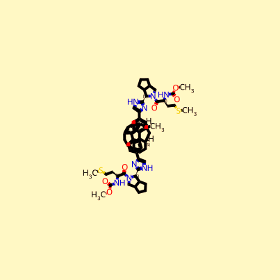 COC(=O)N[C@@H](CCSC)C(=O)N1CC2CCCC2[C@H]1c1nc(-c2ccc(C3=CC4=CC[C@@H]3C[C@@H](C)c3ccc(c(-c5ccc(-c6c[nH]c([C@@H]7C8CCCC8CN7C(=O)[C@H](CCSC)NC(=O)OC)n6)cc5)c3)CC4)cc2)c[nH]1